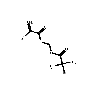 C=C(C)C(=O)OCOC(=O)C(C)(C)Br